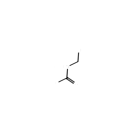 O.O=C(NCC(F)(F)F)C(F)(F)F